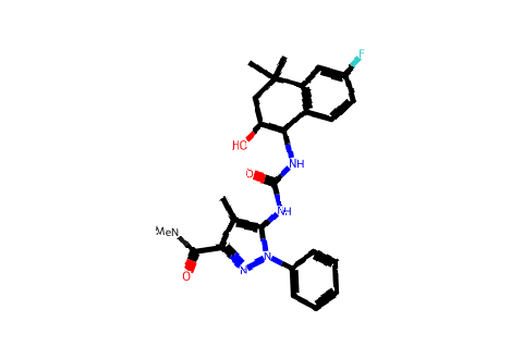 CNC(=O)c1nn(-c2ccccc2)c(NC(=O)NC2c3ccc(F)cc3C(C)(C)CC2O)c1C